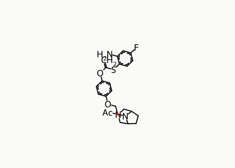 C=C(Oc1ccc(OCCN2C3CCC2CN(C(C)=O)C3)cc1)Sc1ccc(F)cc1N